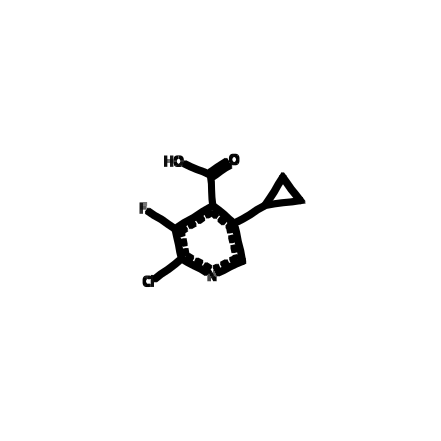 O=C(O)c1c(C2CC2)cnc(Cl)c1F